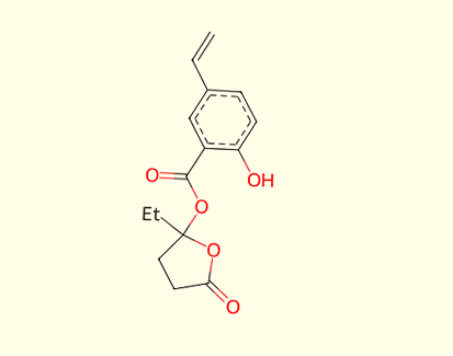 C=Cc1ccc(O)c(C(=O)OC2(CC)CCC(=O)O2)c1